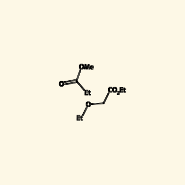 CCC(=O)OC.CCOCC(=O)OCC